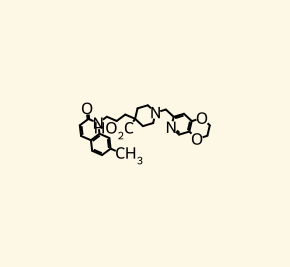 Cc1ccc2ccc(=O)n(CCCC3(C(=O)O)CCN(Cc4cc5c(cn4)OCCO5)CC3)c2c1